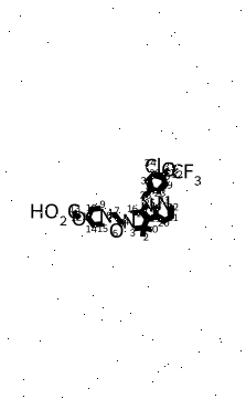 CC1(C)CN(C(=O)CN2CCC(OC(=O)O)CC2)Cc2c1c1cccnc1n2Cc1ccc(OC(F)(F)F)c(Cl)c1